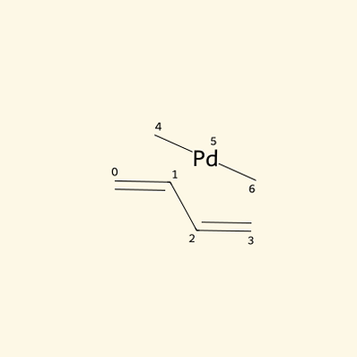 C=CC=C.[CH3][Pd][CH3]